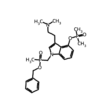 CN(C)CCc1cn(CP(C)(=O)OCc2ccccc2)c2cccc(OP(C)(C)=O)c12